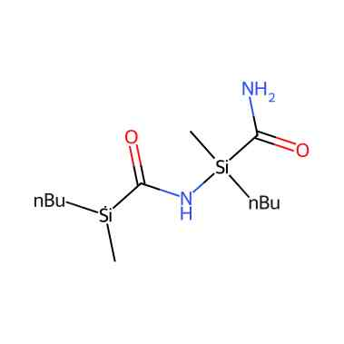 CCCC[Si](C)C(=O)N[Si](C)(CCCC)C(N)=O